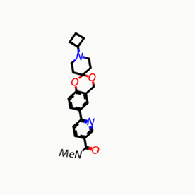 CNC(=O)c1ccc(-c2ccc3c(c2)COC2(CCN(C4CCC4)CC2)O3)nc1